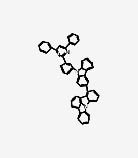 c1ccc(-c2cc(-c3ccccc3)nc(-c3cccc(-n4c5ccccc5c5cc(-c6cccc7c6c6cccc8c9ccccc9n7c86)ccc54)c3)n2)cc1